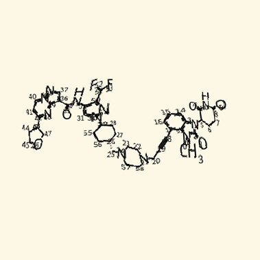 Cn1c(=O)n(C2CCC(=O)NC2=O)c2cccc(C#CCN3CCN(C[C@H]4CC[C@H](n5cc(NC(=O)c6cnn7ccc([C@@H]8CCOC8)nc67)c(C(F)F)n5)CC4)CC3)c21